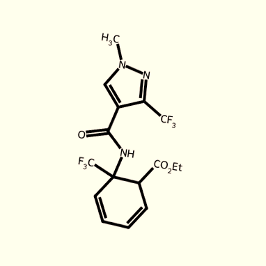 CCOC(=O)C1C=CC=CC1(NC(=O)c1cn(C)nc1C(F)(F)F)C(F)(F)F